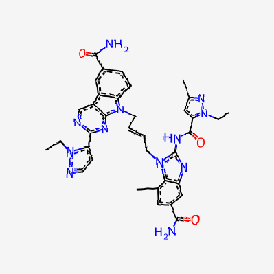 CCn1nc(C)cc1C(=O)Nc1nc2cc(C(N)=O)cc(C)c2n1CC=CCn1c2ccc(C(N)=O)cc2c2cnc(-c3ccnn3CC)nc21